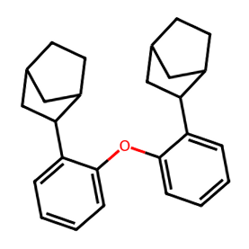 c1ccc(C2CC3CCC2C3)c(Oc2ccccc2C2CC3CCC2C3)c1